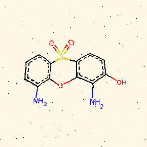 Nc1cccc2c1Oc1c(ccc(O)c1N)S2(=O)=O